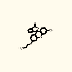 NCCOc1ccc2c(c1)Oc1cc(O)ccc1C21OC(=O)c2ccccc21